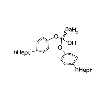 CCCCCCCc1ccc(OP(O)(=S)Oc2ccc(CCCCCCC)cc2)cc1.[BaH2]